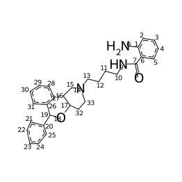 Nc1ccccc1C(=O)NCCCCN1CCC(OC(c2ccccc2)c2ccccc2)CC1